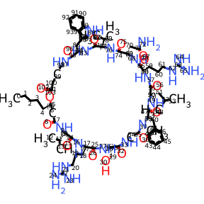 CCCCC[C@@H]1CC(=O)N[C@@H](C(C)C)C(=O)N[C@H](CCCNC(=N)N)C(=O)N[C@@H](CO)C(=O)NCC(=O)N(C)[C@H](Cc2ccccc2)C(=O)N[C@@H](CC(C)C)C(=O)N[C@H](CCCNC(=N)N)C(=O)N[C@@H](CC(N)=O)C(=O)N[C@H](C(C)C)C(=O)N[C@H](Cc2c[nH]c3ccccc23)C(=O)NCCCC(=O)O1